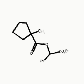 CCOC(=O)C(OC(=O)C1(C)CCCC1)C(C)C